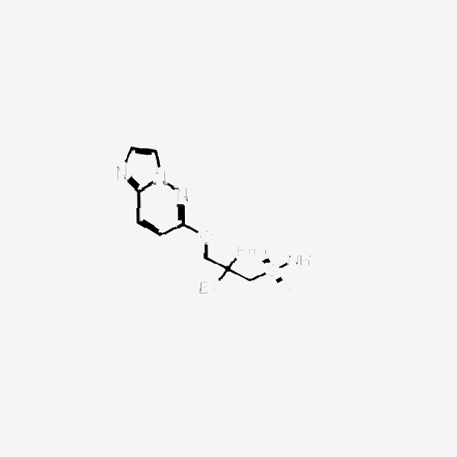 CCC(CC)(COc1ccc2nccn2n1)CS(N)(=O)=O